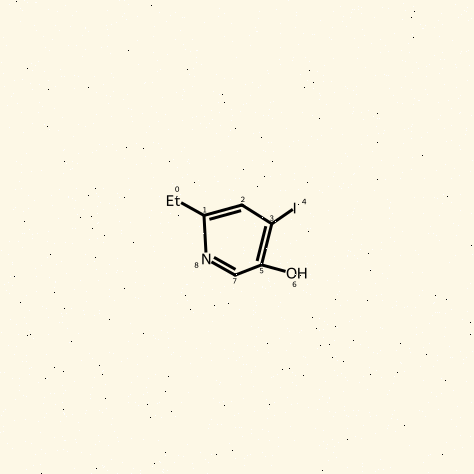 CCc1cc(I)c(O)cn1